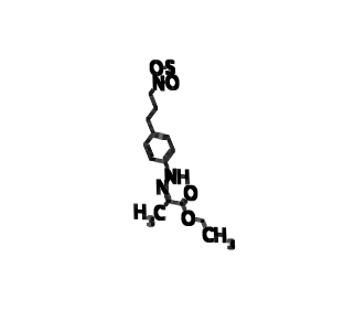 CCOC(=O)C(C)=NNc1ccc(CCCN2OSO2)cc1